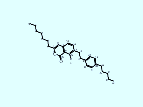 CCCCCCCc1cc2ccc(CCc3ccc(CCCCC)cc3)c(F)c2c(=O)o1